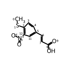 CSc1ccc(C=CC(=O)O)cc1[N+](=O)[O-]